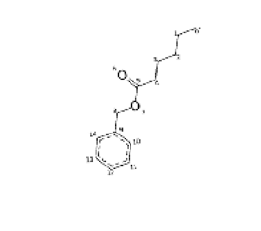 [CH2]CCCCC(=O)OCc1ccccc1